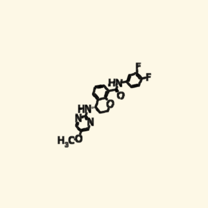 COc1cnc(N[C@H]2CCOc3c(C(=O)Nc4ccc(F)c(F)c4)cccc32)nc1